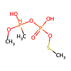 CO[PH](C)(O)OP(=O)(O)OSC